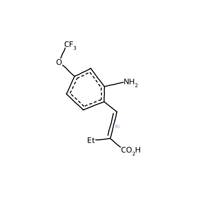 CC/C(=C\c1ccc(OC(F)(F)F)cc1N)C(=O)O